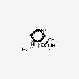 CCC.Cl.Cl.N.c1ccncc1